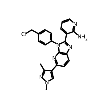 Cc1nn(C)cc1-c1ccc2nc(-c3cccnc3N)n(-c3ccc(CCl)cc3)c2n1